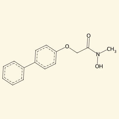 CN(O)C(=O)COc1ccc(-c2ccccc2)cc1